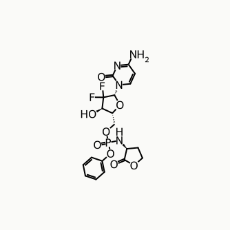 Nc1ccn([C@@H]2O[C@H](COP(=O)(N[C@H]3CCOC3=O)Oc3ccccc3)[C@@H](O)C2(F)F)c(=O)n1